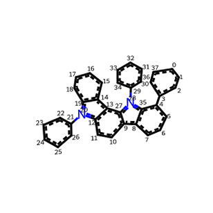 c1ccc(-c2cccc3c4ccc5c(c6ccccc6n5-c5ccccc5)c4n(-c4ccccc4)c23)cc1